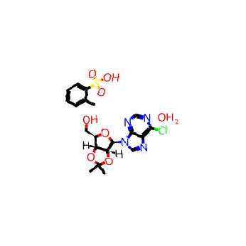 CC1(C)O[C@@H]2[C@H](O1)[C@@H](CO)O[C@H]2n1cnc2c(Cl)ncnc21.Cc1ccccc1S(=O)(=O)O.O